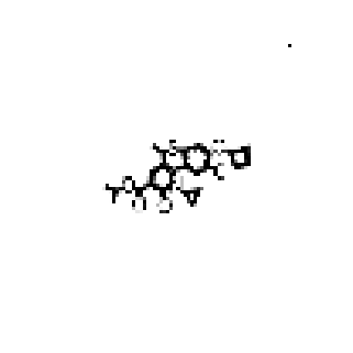 CC(C)OC(=O)c1cc2c(n(C3CC3)c1=O)-c1cc(Cl)c(OC3CCC3)cc1SC2C